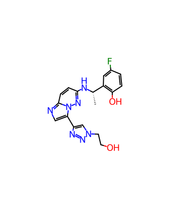 C[C@H](Nc1ccc2ncc(-c3cn(CCO)nn3)n2n1)c1cc(F)ccc1O